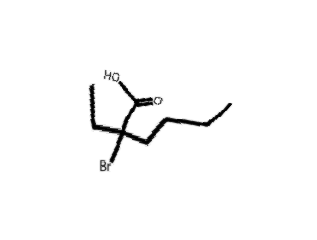 CCCCC(Br)(CC)C(=O)O